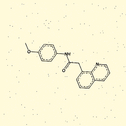 COc1ccc(NC(=O)Cc2cccc3cccnc23)cc1